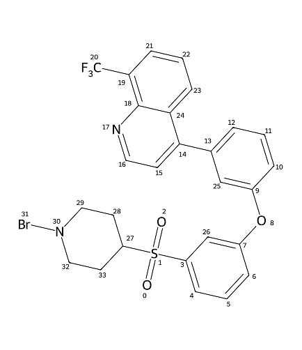 O=S(=O)(c1cccc(Oc2cccc(-c3ccnc4c(C(F)(F)F)cccc34)c2)c1)C1CCN(Br)CC1